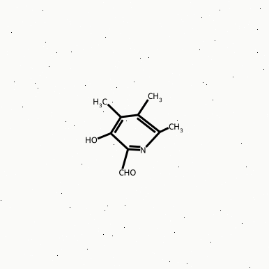 Cc1nc(C=O)c(O)c(C)c1C